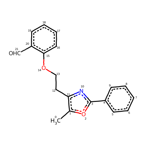 Cc1oc(-c2ccccc2)nc1CCOc1ccccc1C=O